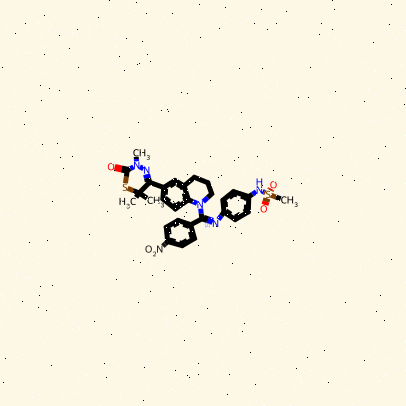 CN1N=C(c2ccc3c(c2)CCCN3/C(=N\c2ccc(NS(C)(=O)=O)cc2)c2ccc([N+](=O)[O-])cc2)C(C)(C)SC1=O